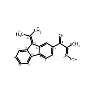 CC(=NO)C(=O)c1ccc2c(c1)C(=C(C)C)c1ccccc1-2